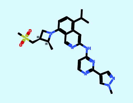 CC(C)c1ccc(N2C[C@H](CS(C)(=O)=O)[C@@H]2C)c2cnc(Nc3ccnc(-c4cnn(C)c4)n3)cc12